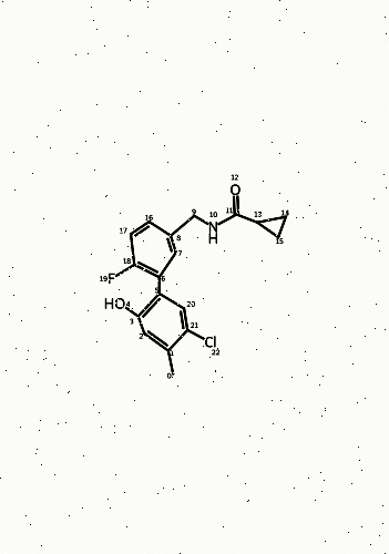 Cc1cc(O)c(-c2cc(CNC(=O)C3CC3)ccc2F)cc1Cl